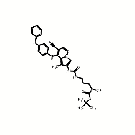 Cc1c(NC(=O)NCCCN(C)C(=O)OC(C)(C)C)cn2ncc(C#N)c(Nc3ccc(Oc4ccccc4)cc3)c12